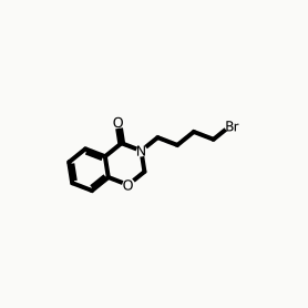 O=C1c2ccccc2OCN1CCCCBr